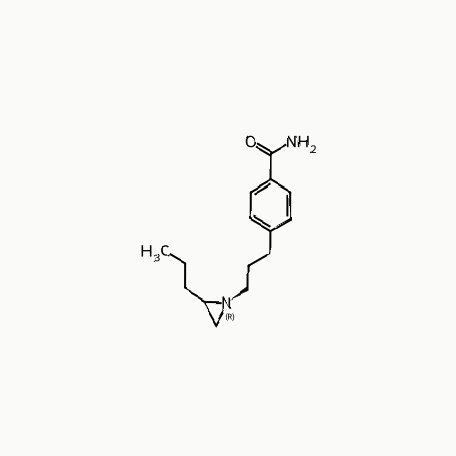 CCCC1C[N@]1CCCc1ccc(C(N)=O)cc1